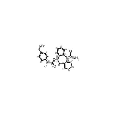 CC(C)Cc1ccc([C@@H](C)C(=O)O[C@@H]2CC3=CCCC=C3N(C(N)=O)c3ccccc32)cc1